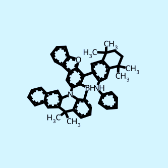 CC1(C)CCC(C)(C)c2cc(-c3c4c(cc5c3oc3ccccc35)N3c5cc6ccccc6cc5C(C)(C)c5cccc(c53)B4)c(Nc3ccccc3)cc21